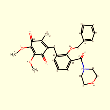 COC1=C(OC)C(=O)C(Cc2cccc(C(=O)N3CCOCC3)c2OCc2ccccc2)=C(C)C1=O